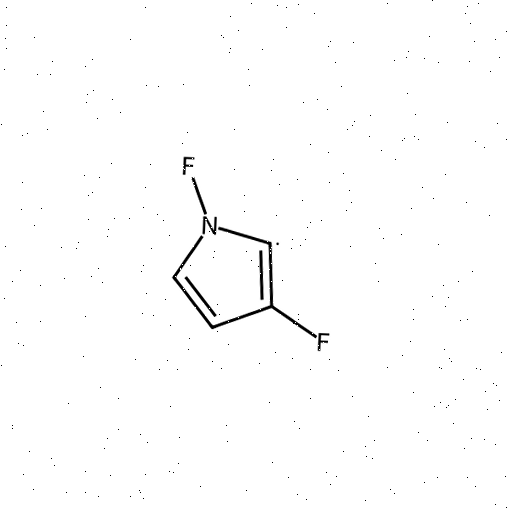 Fc1[c]n(F)cc1